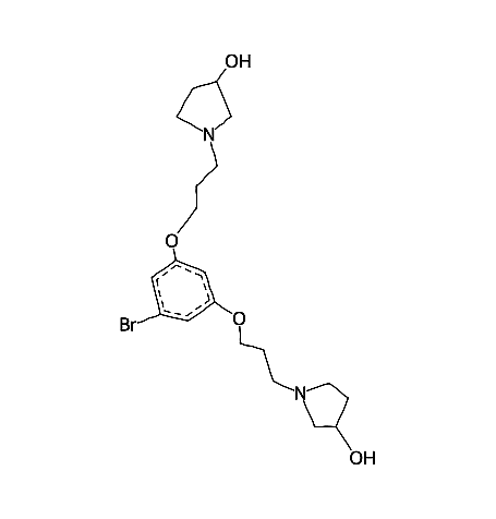 OC1CCN(CCCOc2cc(Br)cc(OCCCN3CCC(O)C3)c2)C1